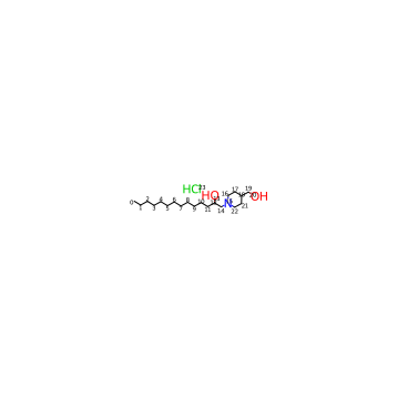 CCCCCCCCCCCCC(O)CN1CCC(CO)CC1.Cl